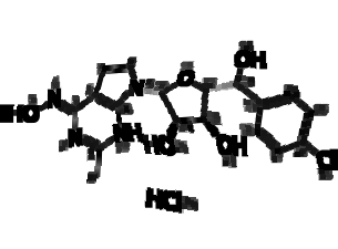 Cc1nc(=NO)c2ccn([C@@H]3O[C@H](C(O)c4ccc(Cl)cc4)[C@@H](O)[C@H]3O)c2[nH]1.Cl